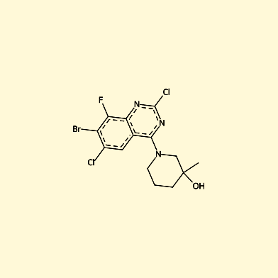 CC1(O)CCCN(c2nc(Cl)nc3c(F)c(Br)c(Cl)cc23)C1